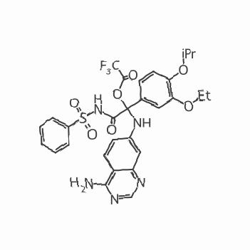 CCOc1cc(C(Nc2ccc3c(N)ncnc3c2)(OC(=O)C(F)(F)F)C(=O)NS(=O)(=O)c2ccccc2)ccc1OC(C)C